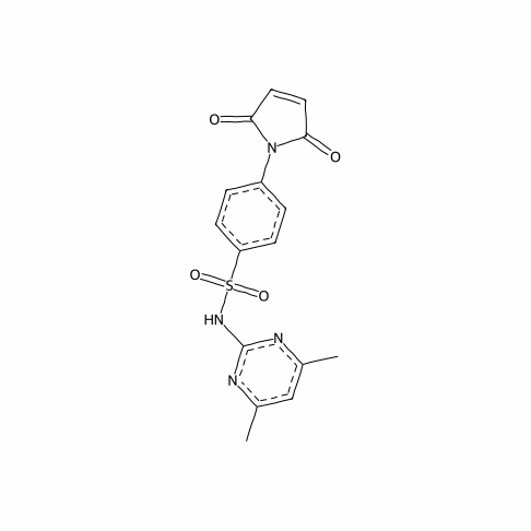 Cc1cc(C)nc(NS(=O)(=O)c2ccc(N3C(=O)C=CC3=O)cc2)n1